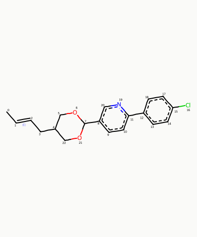 C/C=C/CC1COC(c2ccc(-c3ccc(Cl)cc3)nc2)OC1